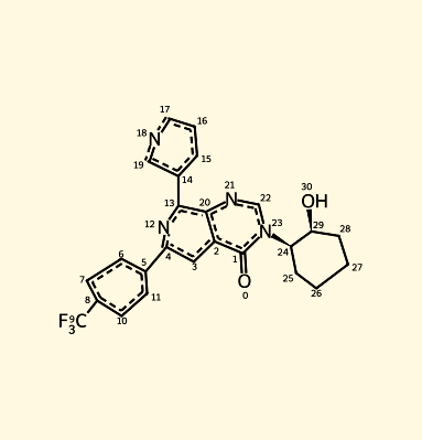 O=c1c2cc(-c3ccc(C(F)(F)F)cc3)nc(-c3cccnc3)c2ncn1[C@@H]1CCCC[C@@H]1O